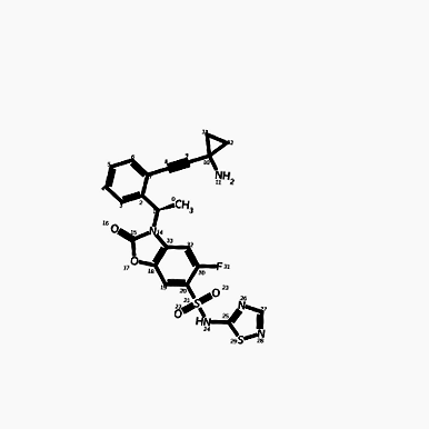 C[C@H](c1ccccc1C#CC1(N)CC1)n1c(=O)oc2cc(S(=O)(=O)Nc3ncns3)c(F)cc21